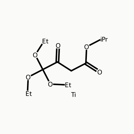 CCOC(OCC)(OCC)C(=O)CC(=O)OC(C)C.[Ti]